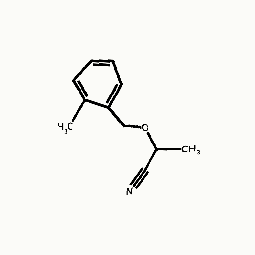 Cc1ccccc1COC(C)C#N